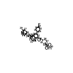 COC(O)N1CCC(COc2cc(-c3ccc(F)cc3)cc3c(NCc4ccc(C)nn4)ncnc23)CC1